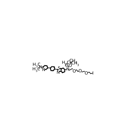 CN(C)c1ccc(-c2ccc(-c3nc4ccc(N(CCOCCOCCOCCI)C(=O)OC(C)(C)C)cc4s3)cc2)cn1